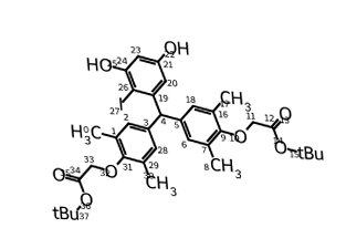 Cc1cc(C(c2cc(C)c(OCC(=O)OC(C)(C)C)c(C)c2)c2cc(O)cc(O)c2I)cc(C)c1OCC(=O)OC(C)(C)C